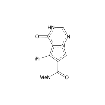 CNC(=O)c1cn2nc[nH]c(=O)c2c1C(C)C